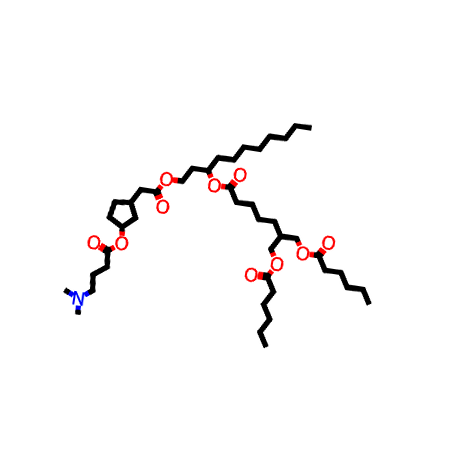 CCCCCCCCC(CCOC(=O)CC1CCC(OC(=O)CCCN(C)C)C1)OC(=O)CCCCC(COC(=O)CCCCC)COC(=O)CCCCC